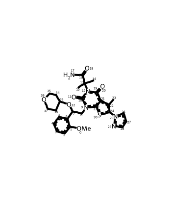 COc1ccccc1C(Cn1c(=O)n(C(C)(C)C(N)=O)c(=O)c2c(C)c(-n3cccn3)sc21)OC1CCOCC1